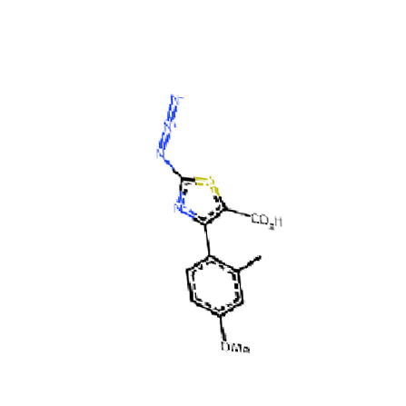 COc1ccc(-c2nc(N=[N+]=[N-])sc2C(=O)O)c(C)c1